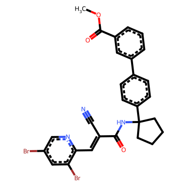 COC(=O)c1cccc(-c2ccc(C3(NC(=O)/C(C#N)=C/c4ncc(Br)cc4Br)CCCC3)cc2)c1